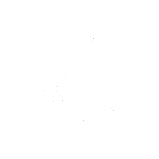 N#Cc1cccc(-c2ccc(-c3cccc4c3oc3c(-c5ccc(-c6cccnc6)cc5)cccc34)cc2)c1